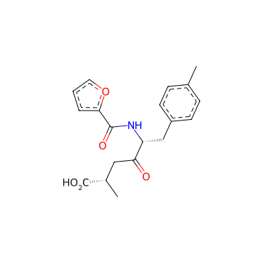 Cc1ccc(C[C@@H](NC(=O)c2ccco2)C(=O)C[C@H](C)C(=O)O)cc1